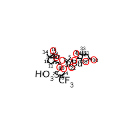 CCCCC1(C(=O)OCC(OC(=O)C23CCC(C)(C(=O)O2)C3(C)C)C(=O)OCC(C(F)(F)F)S(=O)(=O)O)OC(=O)CC1(C)C